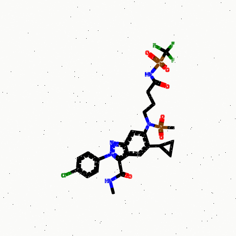 CNC(=O)c1c2cc(C3CC3)c(N(CCCC(=O)NS(=O)(=O)C(F)(F)F)S(C)(=O)=O)cc2nn1-c1ccc(Cl)cc1